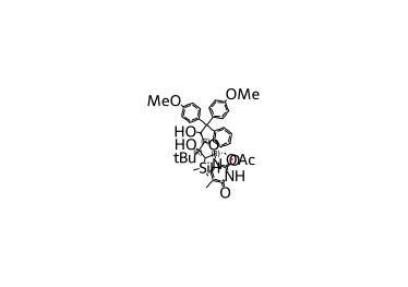 COc1ccc(C(c2ccccc2)(c2ccc(OC)cc2)C(O)[C@H]2O[C@@](COC(C)=O)(n3cc(C)c(=O)[nH]c3=O)C([SiH](C)C)[C@@]2(O)C(C)(C)C)cc1